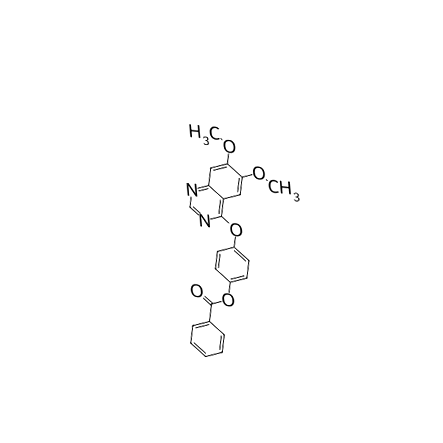 COc1cc2ncnc(Oc3ccc(OC(=O)c4ccccc4)cc3)c2cc1OC